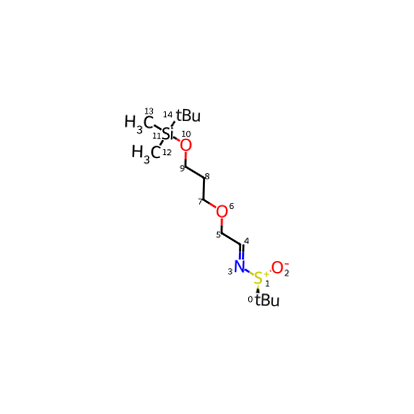 CC(C)(C)[S@+]([O-])/N=C/COCCCO[Si](C)(C)C(C)(C)C